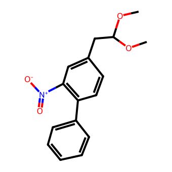 COC(Cc1ccc(-c2ccccc2)c([N+](=O)[O-])c1)OC